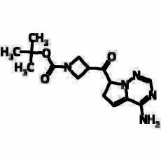 CC(C)(C)OC(=O)N1CC(C(=O)C2CC=C3C(N)=NC=NN32)C1